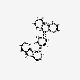 c1ccc2c(c1)oc1cccc(-c3ccc(-n4c5ccccc5c5ccccc54)cc3)c12